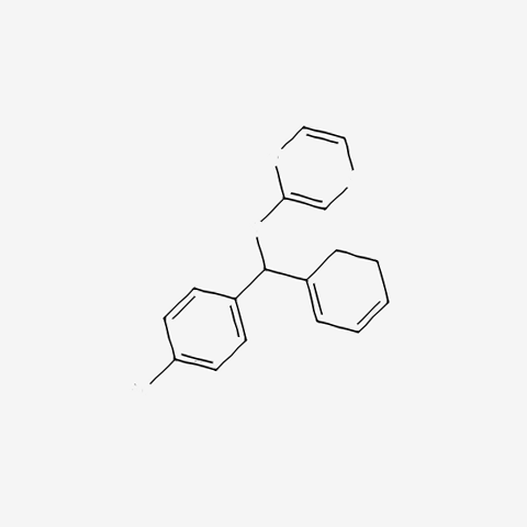 CC(=O)c1ccc(C(SC2=COC=CO2)C2=CC=CCC2)cc1